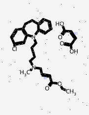 CCOC(=O)/C=C/CN(C)CCCCN1c2ccccc2CCc2ccc(Cl)cc21.O=C(O)/C=C\C(=O)O